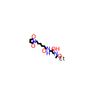 CCO/C(C)=N/CC(O)CNC(=O)CCCCCN1C(=O)C=CC1=O